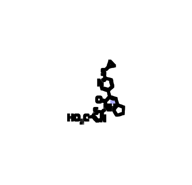 O=C(Nc1ncc(C(=O)O)s1)/C(=C\C1CCCC1)c1ccc(SC2CC2)nc1